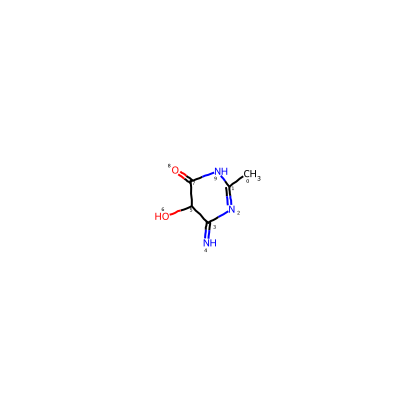 CC1=NC(=N)C(O)C(=O)N1